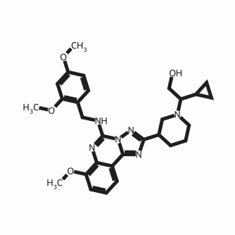 COc1ccc(CNc2nc3c(OC)cccc3c3nc(C4CCCN(C(CO)C5CC5)C4)nn23)c(OC)c1